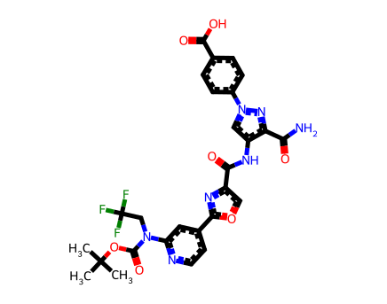 CC(C)(C)OC(=O)N(CC(F)(F)F)c1cc(-c2nc(C(=O)Nc3cn(-c4ccc(C(=O)O)cc4)nc3C(N)=O)co2)ccn1